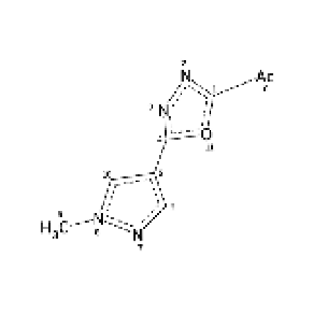 CC(=O)c1nnc(-c2cnn(C)c2)o1